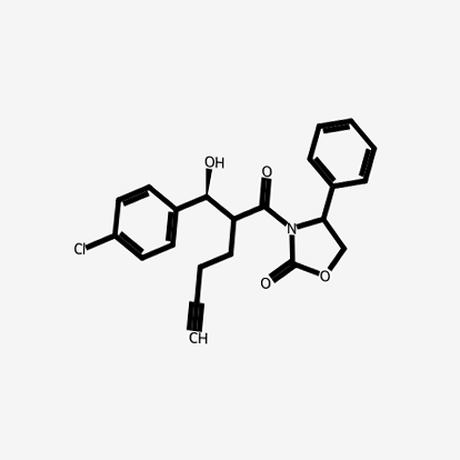 C#CCCC(C(=O)N1C(=O)OCC1c1ccccc1)[C@H](O)c1ccc(Cl)cc1